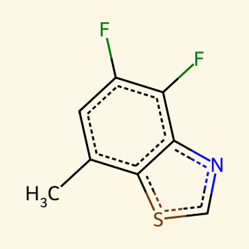 Cc1cc(F)c(F)c2ncsc12